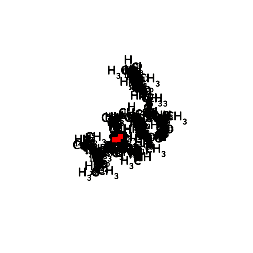 CCCOc1nc(Nc2ccc(C(=O)N3CCOCC3)cc2OC)ncc1Cl.CCNC(=O)c1ccc(Nc2ncc(Cl)c(NC)n2)c(OC)c1.CCNc1nc(Nc2ccc(C3COCCN3c3c(C(N)=O)ccc(Nc4ncc(Cl)c(NC)n4)c3OC)cc2OC)ncc1Cl.CNC(=O)c1ccc(Nc2ncc(Cl)c(NC)n2)c(OC)c1.CNc1nc(Nc2ccc(C(=O)NC(C)C)cc2OC)ncc1Cl